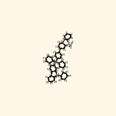 C[Si]1(C)c2ccccc2-c2ccc(-c3ccc([Si](c4ccccc4)(c4ccccc4)c4ccc5c6ccccc6n(-c6ccccc6)c5c4)cc3)cc21